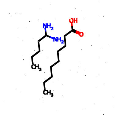 CCCCC(N)N.CCCCCCCCC(=O)O